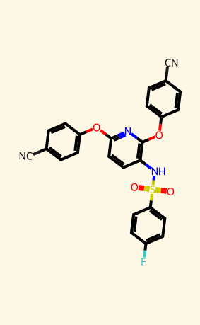 N#Cc1ccc(Oc2ccc(NS(=O)(=O)c3ccc(F)cc3)c(Oc3ccc(C#N)cc3)n2)cc1